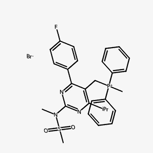 CC(C)c1nc(N(C)S(C)(=O)=O)nc(-c2ccc(F)cc2)c1C[P+](C)(c1ccccc1)c1ccccc1.[Br-]